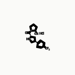 Cl.N#C[C@@H]1CCCN1C(=O)[C@@H]1C[C@H](c2ccc(C(F)(F)F)cc2)CN1